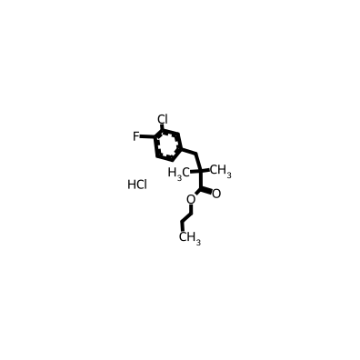 CCCOC(=O)C(C)(C)Cc1ccc(F)c(Cl)c1.Cl